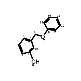 Oc1cccc(COc2ccccc2)c1